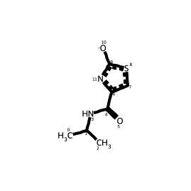 CC(C)NC(=O)c1csc([O])n1